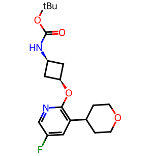 CC(C)(C)OC(=O)N[C@H]1C[C@@H](Oc2ncc(F)cc2C2CCOCC2)C1